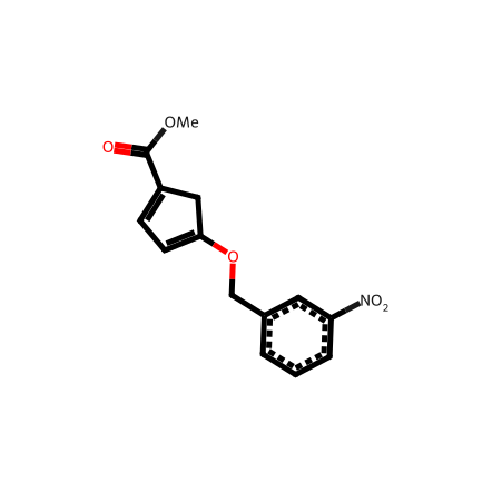 COC(=O)C1=CC=C(OCc2cccc([N+](=O)[O-])c2)C1